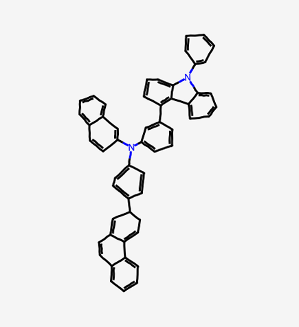 C1=c2ccc3ccccc3c2=CCC1c1ccc(N(c2cccc(-c3cccc4c3c3ccccc3n4-c3ccccc3)c2)c2ccc3ccccc3c2)cc1